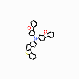 c1ccc2c(c1)oc1cc(N(c3ccc4c(ccc5sc6ccccc6c54)c3)c3ccc4oc5ccccc5c4c3)ccc12